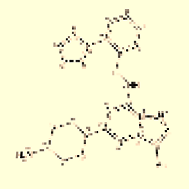 CC(=O)c1cnn2c(NCc3ccccc3-n3cccn3)nc(N3CCC(N)CC3)nc12